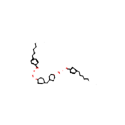 CCCCCCc1ccc(C(=O)OOC(=O)OC2CCC(CC3CCC(OC(=O)OOC(=O)c4ccc(CCCCCC)cc4)CC3)CC2)cc1